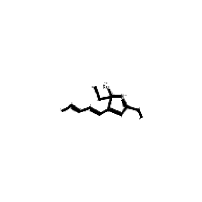 CC=CC=CC1=CC(CC)=N[C]1([Ru])CC